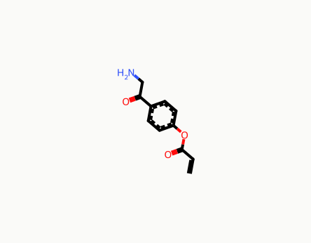 C=CC(=O)Oc1ccc(C(=O)CN)cc1